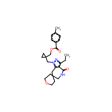 CCc1nn(CC2(COC(=O)c3ccc(C)cc3)CC2)c2c1C(=O)NCC1(CCOCC1)C2